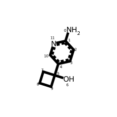 Nc1ccc(C2(O)CCC2)cn1